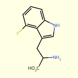 NC(Cc1c[nH]c2cccc(F)c12)C(=O)O